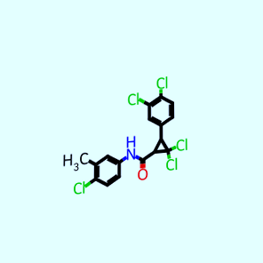 Cc1cc(NC(=O)C2C(c3ccc(Cl)c(Cl)c3)C2(Cl)Cl)ccc1Cl